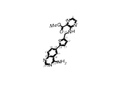 COC(=O)c1nccnc1NCc1ccc(-c2ccc3ncnc(N)c3c2)s1